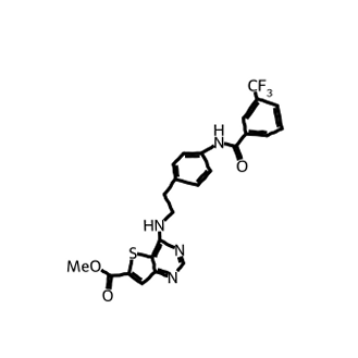 COC(=O)c1cc2ncnc(NCCc3ccc(NC(=O)c4cccc(C(F)(F)F)c4)cc3)c2s1